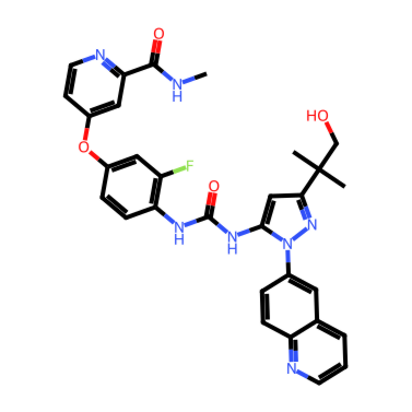 CNC(=O)c1cc(Oc2ccc(NC(=O)Nc3cc(C(C)(C)CO)nn3-c3ccc4ncccc4c3)c(F)c2)ccn1